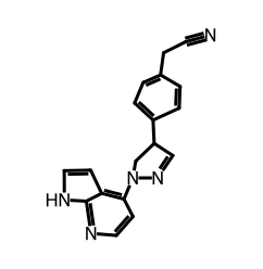 N#CCc1ccc(C2C=NN(c3ccnc4[nH]ccc34)C2)cc1